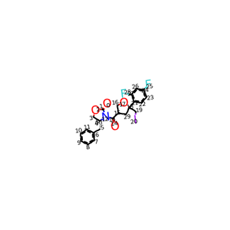 O=C1OC[C@@H](Cc2ccccc2)N1C(=O)C1COC(CI)(c2ccc(F)cc2F)C1